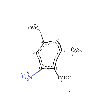 Nc1cc(C(=O)[O-])ccc1C(=O)[O-].[Co+2]